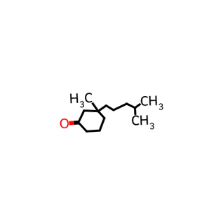 CC(C)CCCC1(C)CCCC(=O)C1